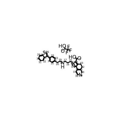 O=C(O)C(F)(F)F.O=C(O)c1c2c(nn1CCCNCCc1ccc(-c3csc4ccccc34)cc1)-c1ccncc1CC2